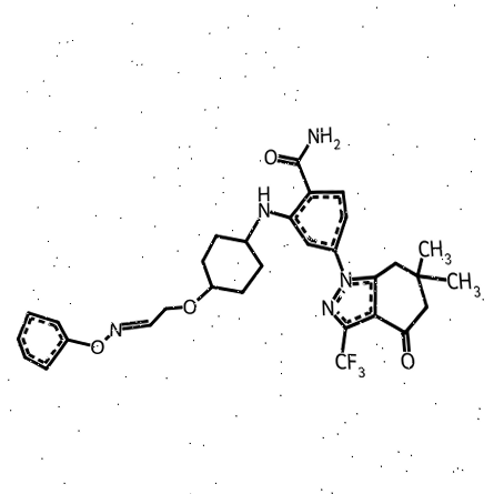 CC1(C)CC(=O)c2c(C(F)(F)F)nn(-c3ccc(C(N)=O)c(NC4CCC(OC/C=N/Oc5ccccc5)CC4)c3)c2C1